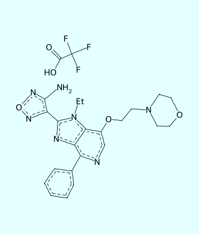 CCn1c(-c2nonc2N)nc2c(-c3ccccc3)ncc(OCCN3CCOCC3)c21.O=C(O)C(F)(F)F